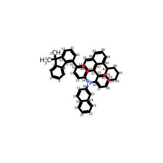 CC1(C)c2ccccc2-c2c(-c3ccc(N(c4ccc5ccccc5c4)c4ccccc4-c4cccc5cccc(C6CCCCC6)c45)cc3)cccc21